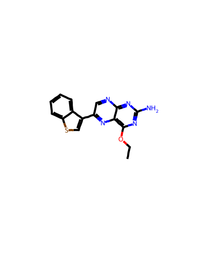 CCOc1nc(N)nc2ncc(-c3csc4ccccc34)nc12